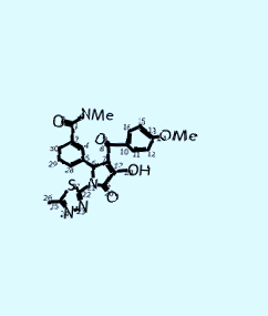 CNC(=O)C1=CC(C2C(C(=O)c3ccc(OC)cc3)=C(O)C(=O)N2c2nnc(C)s2)=CCC1